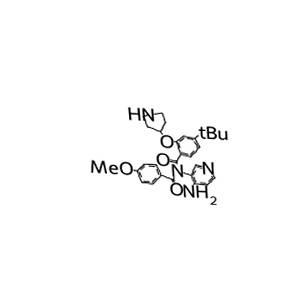 COc1ccc(C(=O)N(C(=O)c2ccc(C(C)(C)C)cc2OC2CCNCC2)c2cnccc2N)cc1